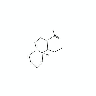 O=C(O)N1CCN2CCCC[C@H]2C1CO